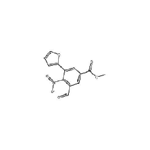 COC(=O)c1cc(C=O)c([N+](=O)[O-])c(-c2ccco2)c1